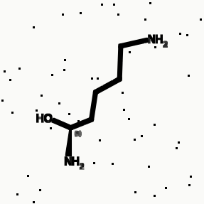 NCCCC[C@@H](N)O